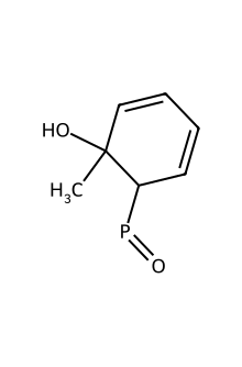 CC1(O)C=CC=CC1P=O